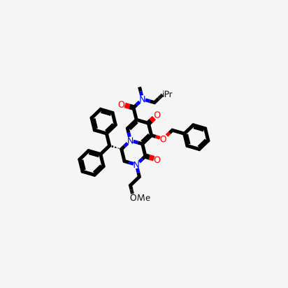 COCCN1C[C@H](C(c2ccccc2)c2ccccc2)n2cc(C(=O)N(C)CC(C)C)c(=O)c(OCc3ccccc3)c2C1=O